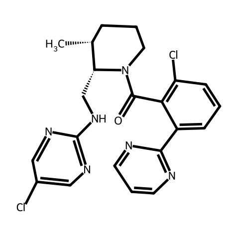 C[C@@H]1CCCN(C(=O)c2c(Cl)cccc2-c2ncccn2)[C@@H]1CNc1ncc(Cl)cn1